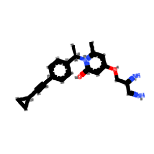 Cc1cc(OCC(=N)C=N)cc(=O)n1[C@H](C)c1ccc(C#CC2CC2)cc1